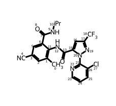 Cc1cc(C#N)cc(C(=O)NC(C)C)c1NC(=O)c1cc(C(F)(F)F)nn1-c1ncccc1Cl